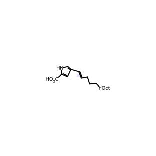 CCCCCCCCCCC/C=C/c1c[nH]c(C(=O)O)c1